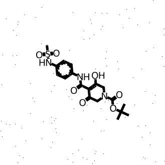 CC(C)(C)OC(=O)N1CC(=O)C(C(=O)Nc2ccc(NS(C)(=O)=O)cc2)=C(O)C1